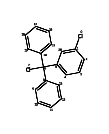 Clc1cccc(C(Cl)(c2ccccc2)c2ccccc2)c1